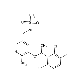 CC(Oc1cc(CNS(C)(=O)=O)cnc1N)c1c(Cl)ccc(F)c1Cl